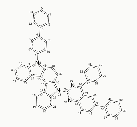 c1ccc(-c2ccc(-n3c4ccccc4c4c5c6ccccc6n(-c6nc(-c7ccccc7)c7cc(-c8ccccc8)ccc7n6)c5ccc43)cc2)cc1